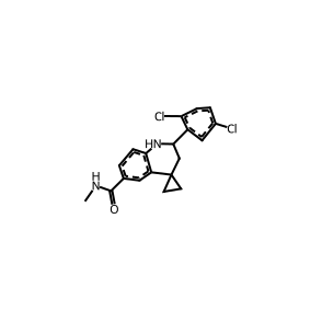 CNC(=O)c1ccc2c(c1)C1(CC1)CC(c1cc(Cl)ccc1Cl)N2